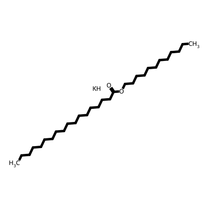 CCCCCCCCCCCCCCCCCC(=O)OCCCCCCCCCCCC.[KH]